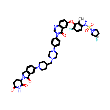 N#Cc1c(NS(=O)(=O)N2CC[C@@H](F)C2)ccc(F)c1Oc1ccc2ncn(-c3ccc(N4CCN(CC5CCN(c6ccc7c(c6)C(=O)N(C6CCC(=O)NC6=O)C7)CC5)CC4)cc3)c(=O)c2c1